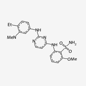 CCc1ccc(Nc2nccc(Nc3cccc(OC)c3S(N)(=O)=O)n2)cc1NC